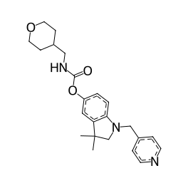 CC1(C)CN(Cc2ccncc2)c2ccc(OC(=O)NCC3CCOCC3)cc21